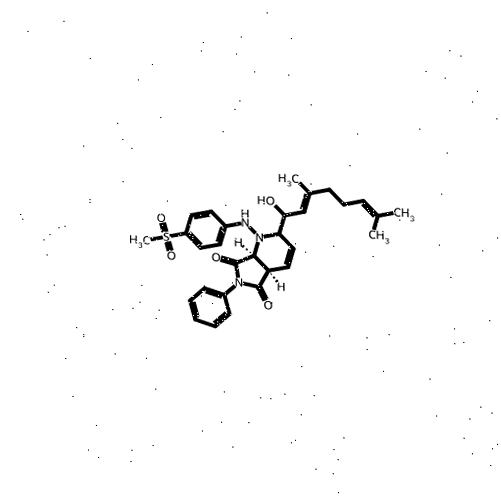 CC(C)=CCC/C(C)=C/C(O)C1C=C[C@H]2C(=O)N(c3ccccc3)C(=O)[C@H]2N1Nc1ccc(S(C)(=O)=O)cc1